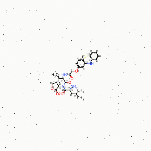 C=C[C@H](NC(=O)COc1ccc2c(c1)Nc1ccccc1S2)C(=O)N(C(=O)[C@@H](N)CC(C)C)[C@H]1CCOC1O